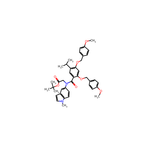 COc1ccc(COc2cc(OCc3ccc(OC)cc3)c(C(C)C)cc2C(=O)N(CC(=O)OC(C)(C)C)c2ccc3c(ccn3C)c2)cc1